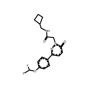 O=C(Cn1nc(-c2ccc(OC(F)F)cc2)ccc1=O)NCC1CCC1